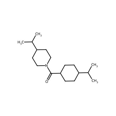 CC(C)C1CCC(C(=O)N2CCC(C(C)C)CC2)CC1